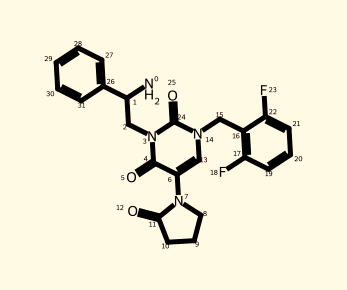 NC(Cn1c(=O)c(N2CCCC2=O)cn(Cc2c(F)cccc2F)c1=O)c1ccccc1